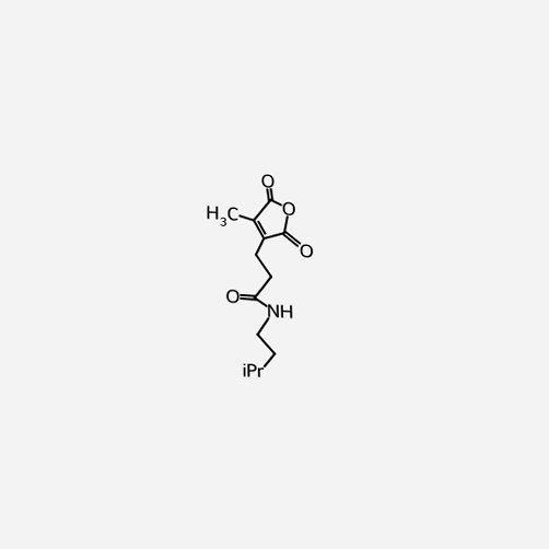 CC1=C(CCC(=O)NCCC(C)C)C(=O)OC1=O